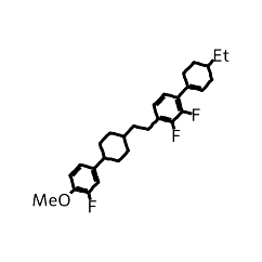 CCC1CC=C(c2ccc(CCC3CCC(c4ccc(OC)c(F)c4)CC3)c(F)c2F)CC1